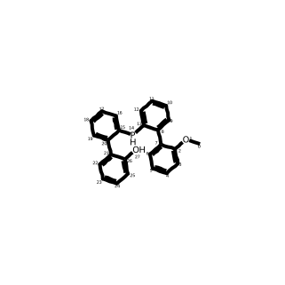 COc1ccccc1-c1ccccc1Pc1ccccc1-c1ccccc1O